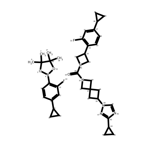 CC1(C)OB(c2ccc(C3CC3)cc2F)OC1(C)C.O=C(N1CC(c2ccc(C3CC3)cc2F)C1)N1CC2(CC(n3cnc(C4CC4)n3)C2)C1